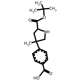 CC(C)(C)OC(=O)C1CC(C)(c2ccc(C(=O)O)cc2)CN1